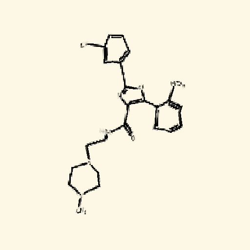 CN1CCN(CCNC(=O)c2nc(-c3cccc(Cl)c3)oc2-c2ccccc2[N+](=O)[O-])CC1